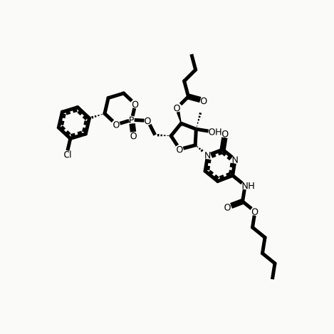 CCCCCOC(=O)Nc1ccn([C@@H]2O[C@H](COP3(=O)OCC[C@@H](c4cccc(Cl)c4)O3)[C@@H](OC(=O)CCC)[C@@]2(C)O)c(=O)n1